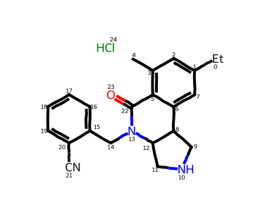 CCc1cc(C)c2c(c1)C1CNCC1N(Cc1ccccc1C#N)C2=O.Cl